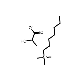 CC(O)C(=O)[O-].CCCCCCC[N+](C)(C)C